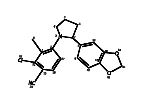 Cc1c(N2CCCC2c2ccc3c(c2)OCO3)ccc(C#N)c1Cl